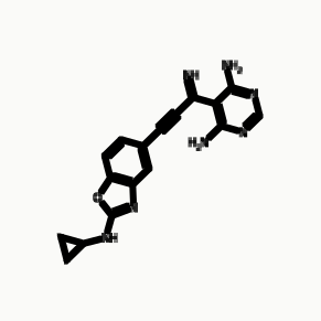 N=C(C#Cc1ccc2oc(NC3CC3)nc2c1)c1c(N)ncnc1N